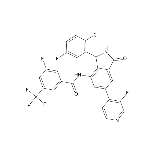 O=C(Nc1cc(-c2ccncc2F)cc2c1C(c1cc(F)ccc1Cl)NC2=O)c1cc(F)cc(C(F)(F)F)c1